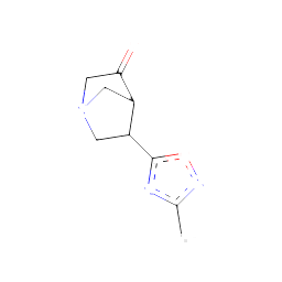 CCCc1noc(C2CN3CC(=O)C2C3)n1